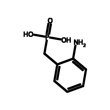 Nc1ccccc1CP(=O)(O)O